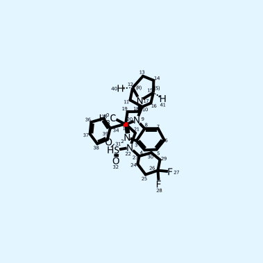 Cc1nc2ccccc2n1C1C[C@H]2CC[C@@H](C1)N2CCC(CN(C1CCC(F)(F)CC1)[SH](=O)=O)c1ccccc1